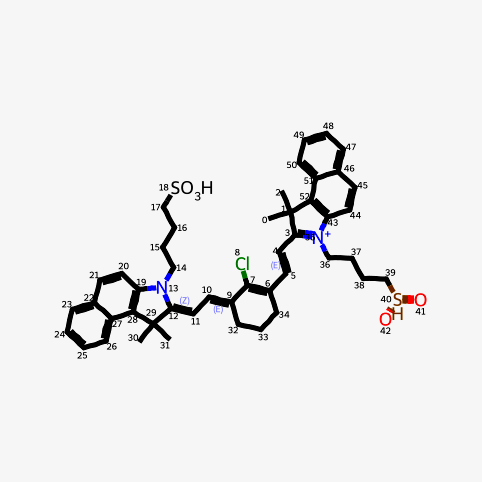 CC1(C)C(/C=C/C2=C(Cl)C(=C/C=C3\N(CCCCS(=O)(=O)O)c4ccc5ccccc5c4C3(C)C)/CCC2)=[N+](CCCC[SH](=O)=O)c2ccc3ccccc3c21